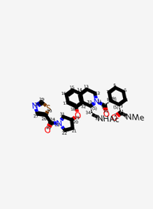 CNC(=O)[C@H]1CCCC[C@H]1C(=O)N1CCc2cccc(OC3CCN(C(=O)c4cncs4)C3)c2[C@H]1CNC(C)=O